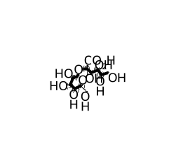 O=C(O)[C@H](OC1O[C@H](CO)[C@H](O)[C@H](O)[C@H]1O)[C@@H](O)[C@H](O)[C@H](O)CO